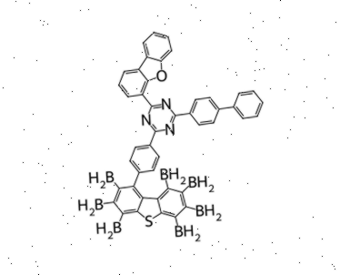 Bc1c(B)c(B)c2c(sc3c(B)c(B)c(B)c(-c4ccc(-c5nc(-c6ccc(-c7ccccc7)cc6)nc(-c6cccc7c6oc6ccccc67)n5)cc4)c32)c1B